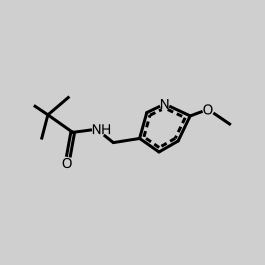 COc1ccc(CNC(=O)C(C)(C)C)cn1